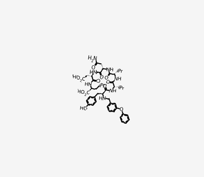 CC(C)C[C@H](NC(=O)[C@H](CC(=O)O)NC(=O)[C@H](CC(N)=O)NC(=O)[C@@H](NC(=O)[C@@H](NC(=O)[C@H](Cc1ccc(O)cc1)NCc1cccc(Oc2ccccc2)c1)C(C)C)C(C)C)C(=O)O